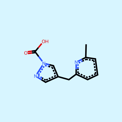 Cc1cccc(Cc2cnn(C(=O)O)c2)n1